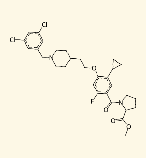 COC(=O)C1CCCN1C(=O)c1cc(C2CC2)c(OCCC2CCN(Cc3cc(Cl)cc(Cl)c3)CC2)cc1F